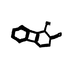 O=C1C=CC2=C(c3ccccc32)C1O